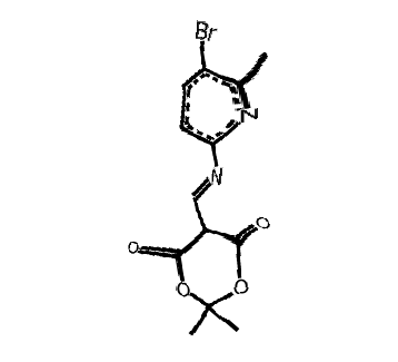 Cc1nc(/N=C/C2C(=O)OC(C)(C)OC2=O)ccc1Br